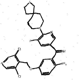 N=C(c1cnc(N2CCC3(CCSC3)CC2)c(F)c1)c1cc(OCc2c(Cl)cncc2Cl)ccc1N